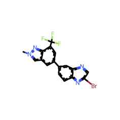 Cn1cc2cc(-c3ccc4nc(Br)cnc4c3)cc(C(F)(F)F)c2n1